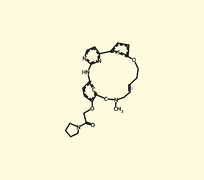 CN1C/C=C/CCOc2ccc(s2)-c2ccnc(n2)Nc2ccc(OCC(=O)N3CCCC3)c(c2)C1